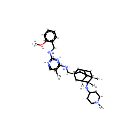 CC(=O)N1CCC(N[C@@H]2[C@@H]3CC4C[C@H]2C[C@@](CNc2nc(NCc5ccccc5OC(F)(F)F)ncc2C#N)(C4)C3)CC1